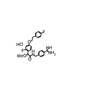 CO[C@H](C(=O)NCc1ccc(C(=N)N)cc1)c1ccc(OCCc2ccc(F)cc2)cc1F.Cl